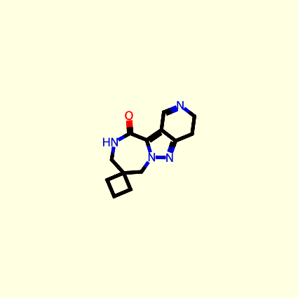 O=C1NCC2(CCC2)Cn2nc3c(c21)C=NCC3